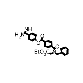 CCOC(=O)CN(Cc1ccccc1)C(=O)c1ccc(C(=O)Oc2ccc(C(=N)N)cc2)cc1